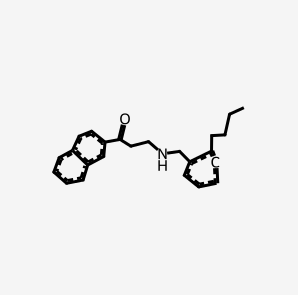 CCCCc1ccccc1CNCCC(=O)c1ccc2ccccc2c1